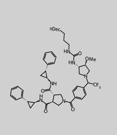 CCCCCCCCCCCCCNC(=O)N[C@H]1CN(C(c2ccc(C(=O)N3C[C@@H](C(=O)N[C@H]4C[C@@H]4c4ccccc4)[C@H](C(=O)N[C@H]4C[C@@H]4c4ccccc4)C3)cc2)C(F)(F)F)C[C@@H]1OC